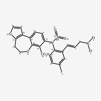 CCN(CC)CC=Cc1cc(F)ccc1N(c1ccc2c(c1C(=O)O)OCCc1occc1-2)[SH](=O)=O